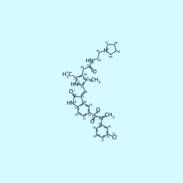 Cc1[nH]c(/C=C2\C(=O)Nc3ccc(S(=O)(=O)N(C)c4cccc(Cl)c4)cc32)c(C)c1CC(=O)NCCN1CCCC1